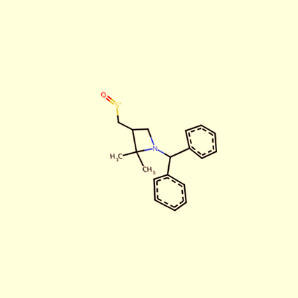 CC1(C)C(C[S+]=O)CN1C(c1ccccc1)c1ccccc1